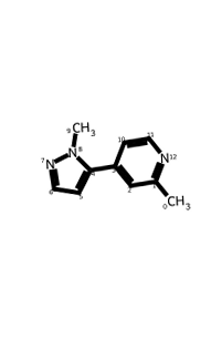 Cc1cc(-c2ccnn2C)ccn1